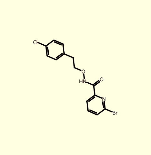 O=C(NOCCc1ccc(Cl)cc1)c1cccc(Br)n1